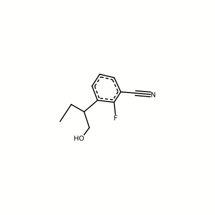 CCC(CO)c1cccc(C#N)c1F